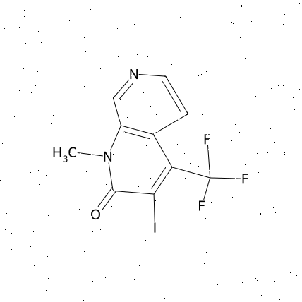 Cn1c(=O)c(I)c(C(F)(F)F)c2ccncc21